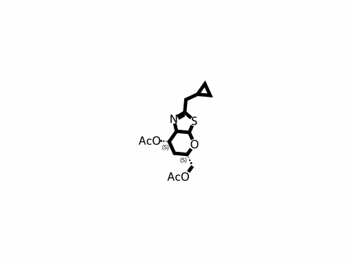 CC(=O)OC[C@@H]1C[C@H](OC(C)=O)C2N=C(CC3CC3)SC2O1